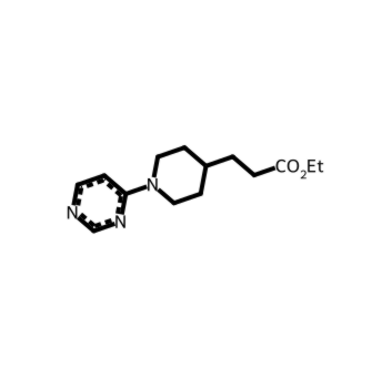 CCOC(=O)CCC1CCN(c2ccncn2)CC1